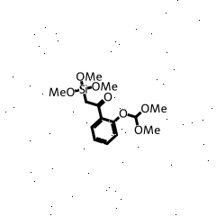 COC(OC)Oc1ccccc1C(=O)C[Si](OC)(OC)OC